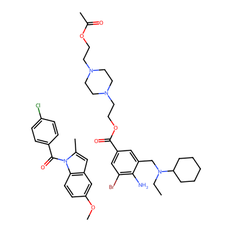 CCN(Cc1cc(C(=O)OCCN2CCN(CCOC(C)=O)CC2)cc(Br)c1N)C1CCCCC1.COc1ccc2c(c1)cc(C)n2C(=O)c1ccc(Cl)cc1